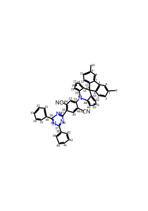 Cc1ccc2c(c1)-c1cc(C)ccc1C21c2ccccc2N(c2cc(C#N)c(-c3nc(-c4ccccc4)nc(-c4ccccc4)n3)cc2C#N)c2ccccc21